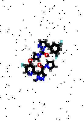 Cn1ncc(C(=O)N2CCCC2)c1-c1cc(OC2CN(C(=O)N3N=CCC3c3cc(F)cc(F)c3)C2)c(F)cn1